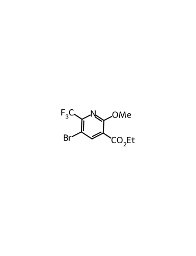 CCOC(=O)c1cc(Br)c(C(F)(F)F)nc1OC